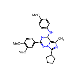 COc1ccc(Nc2nc(-c3ccc(OC)c(OC)c3)nn3c(C4CCCC4)nc(C)c23)cc1